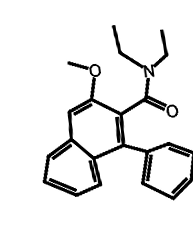 CCN(CC)C(=O)c1c(OC)cc2ccccc2c1-c1ccccc1